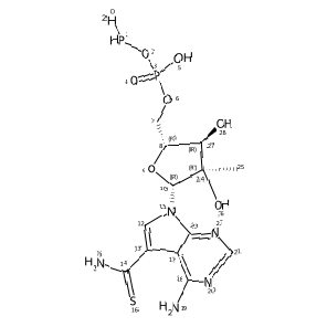 [2H]POP(=O)(O)OC[C@H]1O[C@@H](n2cc(C(N)=S)c3c(N)ncnc32)[C@](C)(O)[C@@H]1O